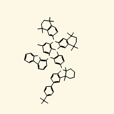 Cc1cc2c3c(c1)N(c1cccc4c1oc1ccccc14)c1cc(N4c5ccc(-c6ccc(C(C)(C)C)cc6)cc5C5(C)CCCCC45C)ccc1B3c1cc3c(cc1N2c1ccc2c(c1)C(C)(C)CCC2(C)C)C(C)(C)CCC3(C)C